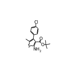 Cc1sc(N)c(C(=O)OC(C)(C)C)c1-c1ccc(Cl)cc1